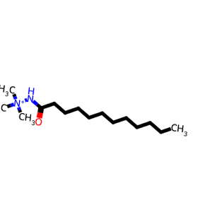 CCCCCCCCCCCC(=O)N[N+](C)(C)C